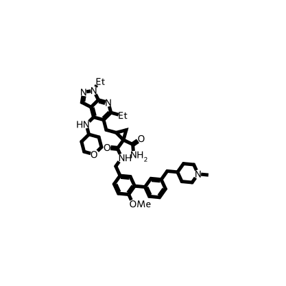 CCc1nc2c(cnn2CC)c(NC2CCOCC2)c1CC1CC1(C(N)=O)C(=O)NCc1ccc(OC)c(-c2cccc(CC3CCN(C)CC3)c2)c1